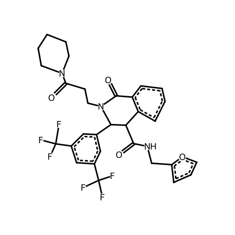 O=C(NCc1ccco1)C1c2ccccc2C(=O)N(CCC(=O)N2CCCCC2)C1c1cc(C(F)(F)F)cc(C(F)(F)F)c1